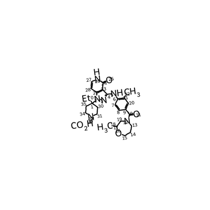 CCC1(n2nc(Nc3ccc(C(=O)N4CCCOC(C)C4)cc3C)c3c(=O)[nH]ccc32)CCN(C(=O)O)CC1